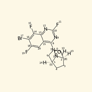 O=C(O)N1[C@@H]2CC[C@H]1CN(c1nc(F)nc3c(F)c(Br)c(F)cc13)C2